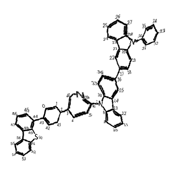 C1=CC(c2ccc(-n3c4ccccc4c4cc(-c5ccc6c(c5)c5ccccc5n6-c5ccccc5)ccc43)nc2)CC=C1c1cccc2c1sc1ccccc12